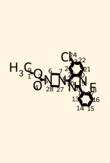 CCOC(=O)N1CCN(c2nc(-c3ccccc3F)nc3ccc(Cl)cc23)CC1